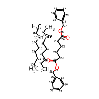 CCCCC[CH2][Sn][CH2]C.CCCCC[CH2][Sn][CH2]C.O=C(CCCCC(=O)OCc1ccccc1)OCc1ccccc1